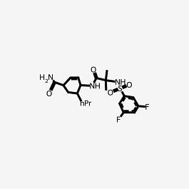 CCCC1CC(C(N)=O)C=CC1NC(=O)C(C)(C)NS(=O)(=O)c1cc(F)cc(F)c1